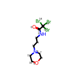 O=C(NCCCN1CCOCC1)C(Br)(Br)Br